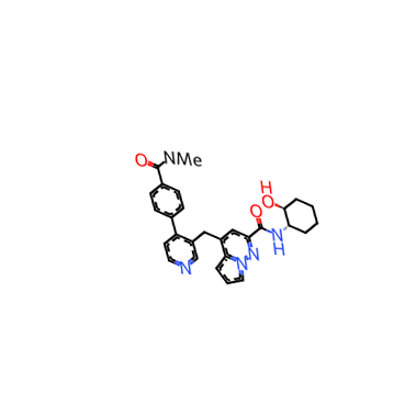 CNC(=O)c1ccc(-c2ccncc2Cc2cc(C(=O)N[C@H]3CCCC[C@@H]3O)nn3cccc23)cc1